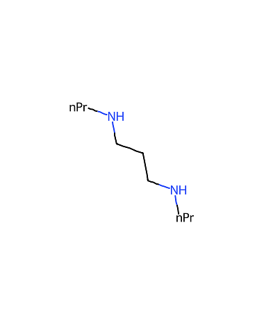 CCCNCCCNCCC